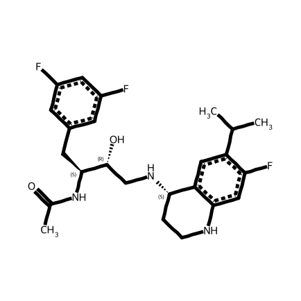 CC(=O)N[C@@H](Cc1cc(F)cc(F)c1)[C@H](O)CN[C@H]1CCNc2cc(F)c(C(C)C)cc21